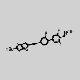 CCCCc1cc2sc(C#Cc3ccc(-c4cc(F)c(/C=N/O)c(F)c4)c(F)c3)cc2s1